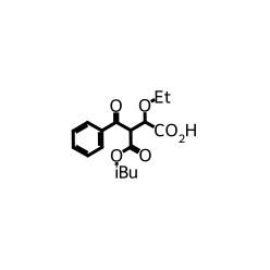 CCOC(C(=O)O)C(C(=O)OC(C)CC)C(=O)c1ccccc1